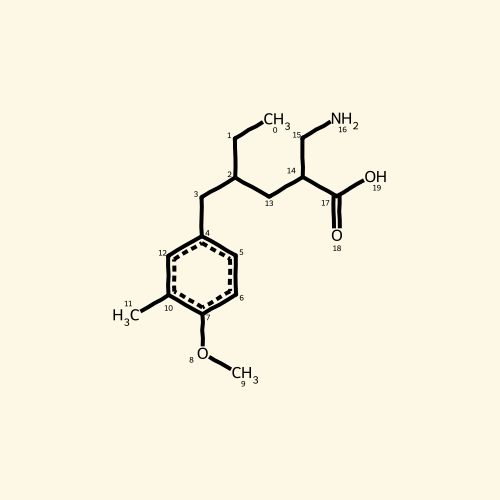 CCC(Cc1ccc(OC)c(C)c1)CC(CN)C(=O)O